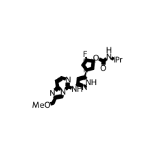 COCc1cn2c(Nc3cc([C@H]4C[C@@H](F)[C@@H](OC(=O)NC(C)C)C4)[nH]n3)nccc2n1